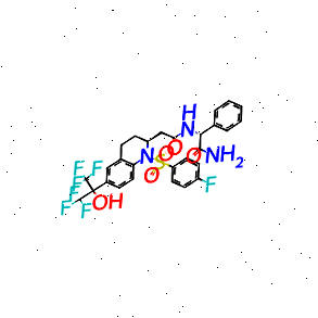 NC(=O)[C@H](NC(=O)C[C@@H]1CCc2cc(C(O)(C(F)(F)F)C(F)(F)F)ccc2N1S(=O)(=O)c1ccc(F)cc1)c1ccccc1